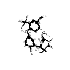 CN1C(=O)C(C)(C)[C@@](C)(c2cc(Nc3ccc(C#N)cc3C(F)(F)F)ccc2F)N=C1N